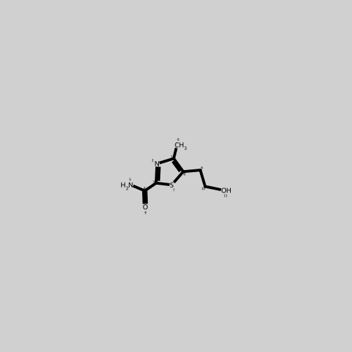 Cc1nc(C(N)=O)sc1CCO